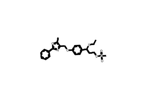 CCOC(CCOS(C)(=O)=O)c1ccc(OCc2nc(-c3ccccc3)oc2C)cc1